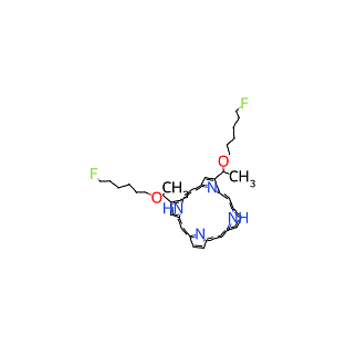 CC(OCCCCCCF)C1=Cc2cc3[nH]c(cc4nc(cc5ccc(cc1n2)[nH]5)C=C4)cc3C(C)OCCCCCCF